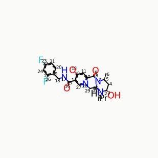 CC(C)N1C(O)C[C@H](C)N2C(=O)c3cc(=O)c(C(=O)NCc4ccc(F)cc4F)cn3C[C@@H]12